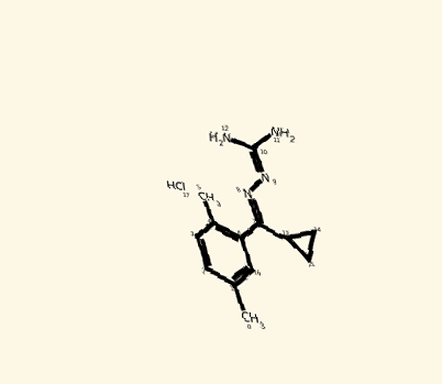 Cc1ccc(C)c(C(=NN=C(N)N)C2CC2)c1.Cl